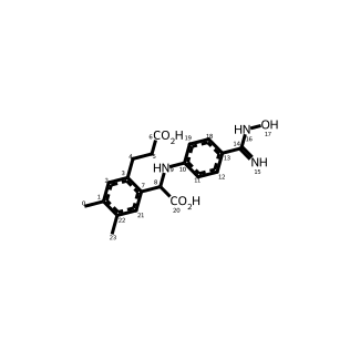 Cc1cc(CCC(=O)O)c(C(Nc2ccc(C(=N)NO)cc2)C(=O)O)cc1C